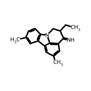 CCC1Cn2c3ccc(C)cc3c3cc(C)cc(c32)C1=N